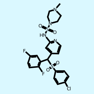 CN1CCN(S(=O)(=O)Nc2cc(C(c3cc(F)ccc3F)S(=O)(=O)c3ccc(Cl)cc3)ccn2)CC1